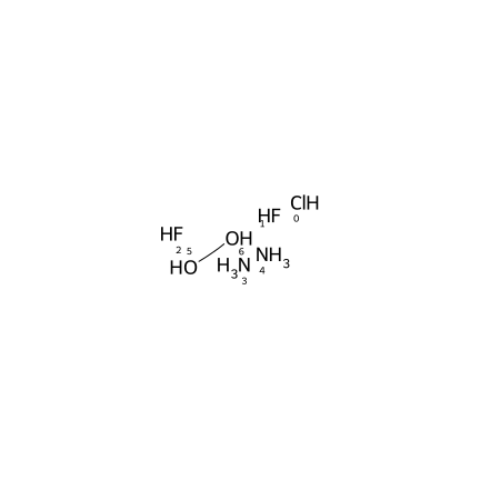 Cl.F.F.N.N.OO